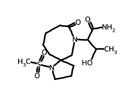 CC(O)C(C(N)=O)N1CC2(CCCCC1=O)CCCN2S(C)(=O)=O